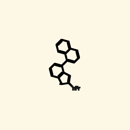 CCCC1=Cc2c(cccc2-c2cccc3ccccc23)[CH]1